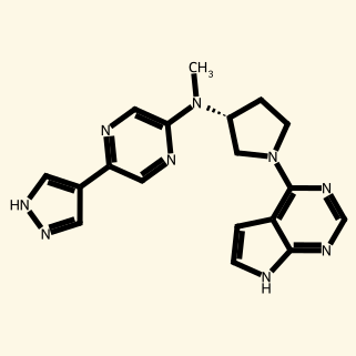 CN(c1cnc(-c2cn[nH]c2)cn1)[C@@H]1CCN(c2ncnc3[nH]ccc23)C1